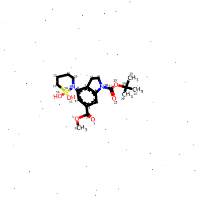 COC(=O)c1cc2c(c(N3CCCCS3(O)O)c1)CCN2C(=O)OC(C)(C)C